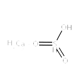 O=[SH](=O)O.[CaH2]